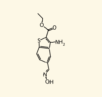 CCOC(=O)c1sc2ccc(C=NO)cc2c1N